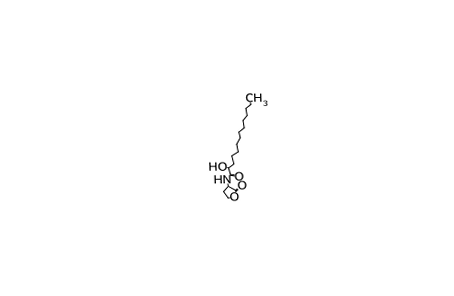 CCCCCCCCCCCCC(O)C(=O)NC1CCOC1=O